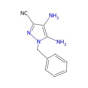 N#Cc1nn(Cc2ccccc2)c(N)c1N